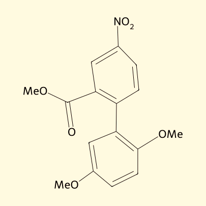 COC(=O)c1cc([N+](=O)[O-])ccc1-c1cc(OC)ccc1OC